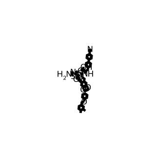 Cc1ccc(COc2ccc([C@H]3COc4cc5c(cc4O3)CN(S(=O)(=O)c3sc(N)nc3C)[C@H](C(=O)NC(Cc3ccc(-c4ccc(C#N)cc4)cc3)C(=O)O)C5)cc2)cc1C